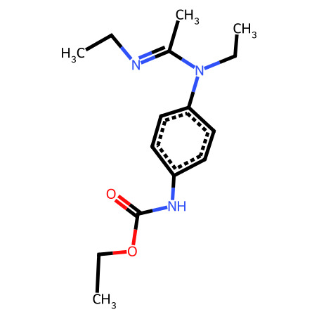 CCN=C(C)N(CC)c1ccc(NC(=O)OCC)cc1